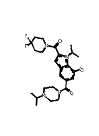 CC(C)N1CCN(C(=O)c2cc(Cl)c3c(c2)cc(C(=O)N2CCC(F)(F)CC2)n3C(C)C)CC1